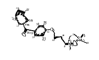 C[Si](C)(C)O[Si](C)(C)CCCOc1ccc(C(=O)c2ccccc2)cc1